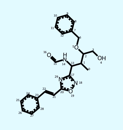 CC(C(CO)OCc1ccccc1)C(NC=O)c1noc(C=Cc2ccccc2)n1